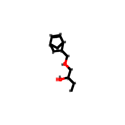 CCC(O)COCC1CC2C=CC1C2